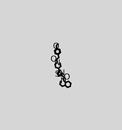 COc1ccc(CC(=O)N2CCC(c3nc(C(=O)N4CCCC5CCCCC54)cs3)CC2)cc1